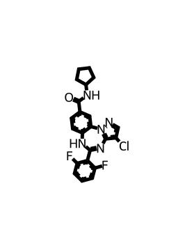 O=C(NC1CCCC1)c1ccc2c(c1)-n1ncc(Cl)c1N=C(c1c(F)cccc1F)N2